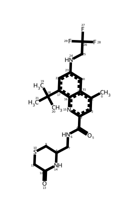 Cc1cc(C(=O)NCC2CSCC(=O)N2)nc2c(C(C)(C)C)cc(NCC(F)(F)F)cc12